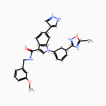 COc1cccc(CNC(=O)c2cn(C3=CC=CC(c4noc(C)n4)C3)c3cc(-c4cn[nH]c4)ccc23)c1